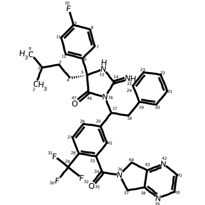 CC(C)CC[C@]1(c2ccc(F)cc2)NC(=N)N(C(Cc2ccccc2)c2ccc(C(F)(F)F)c(C(=O)N3Cc4nccnc4C3)c2)C1=O